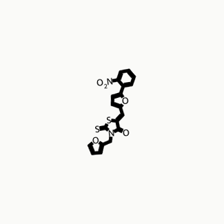 O=C1C(=Cc2ccc(-c3ccccc3[N+](=O)[O-])o2)SC(=S)N1Cc1ccco1